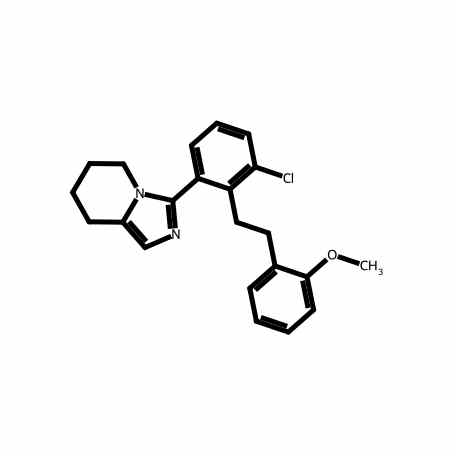 COc1ccccc1CCc1c(Cl)cccc1-c1ncc2n1CCCC2